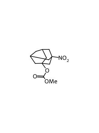 COC(=O)OC12CC3CC(C1)CC([N+](=O)[O-])(C3)C2